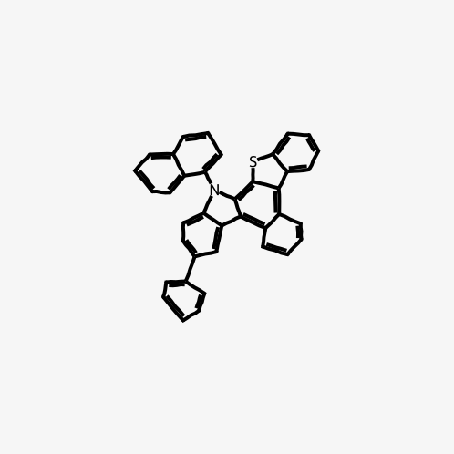 c1ccc(-c2ccc3c(c2)c2c4ccccc4c4c5ccccc5sc4c2n3-c2cccc3ccccc23)cc1